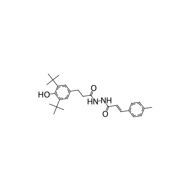 Cc1ccc(C=CC(=O)NNC(=O)CCc2cc(C(C)(C)C)c(O)c(C(C)(C)C)c2)cc1